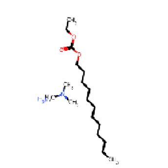 CCCCCCCCCCCCOC(=O)OCC.CN(C)C.N